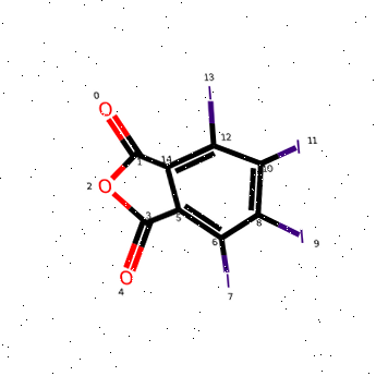 O=C1OC(=O)c2c(I)c(I)c(I)c(I)c21